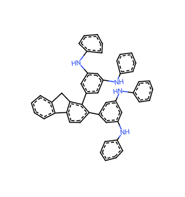 c1ccc(Nc2cc(Nc3ccccc3)cc(-c3ccc4c(c3-c3cc(Nc5ccccc5)cc(Nc5ccccc5)c3)Cc3ccccc3-4)c2)cc1